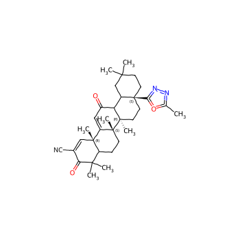 Cc1nnc([C@]23CCC(C)(C)CC2C2C(=O)C=C4[C@@]5(C)C=C(C#N)C(=O)C(C)(C)C5CC[C@@]4(C)[C@]2(C)CC3)o1